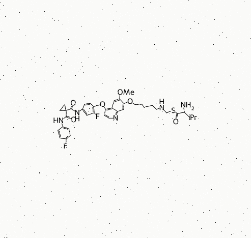 COc1cc2c(Oc3ccc(NC(=O)C4(C(=O)Nc5ccc(F)cc5)CC4)cc3F)ccnc2cc1OCCCCCNCSC(=O)C(N)C(C)C